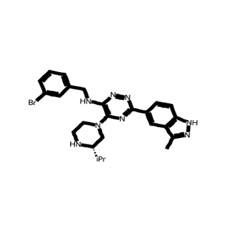 Cc1n[nH]c2ccc(-c3nnc(NCc4cccc(Br)c4)c(N4CCN[C@@H](C(C)C)C4)n3)cc12